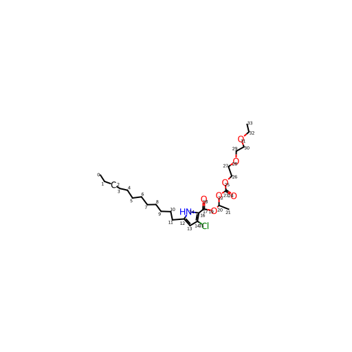 CCCCCCCCCCCCc1cc(Cl)c(C(=O)OC(C)OC(=O)OCCOCCOCC)[nH]1